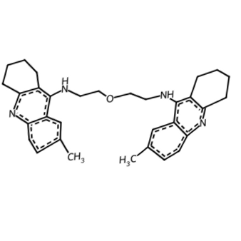 Cc1ccc2nc3c(c(NCCOCCNc4c5c(nc6ccc(C)cc46)CCCC5)c2c1)CCCC3